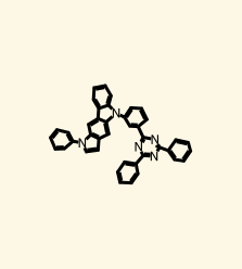 c1ccc(-c2nc(-c3ccccc3)nc(-c3cccc(-n4c5ccccc5c5cc6c(ccn6-c6ccccc6)cc54)c3)n2)cc1